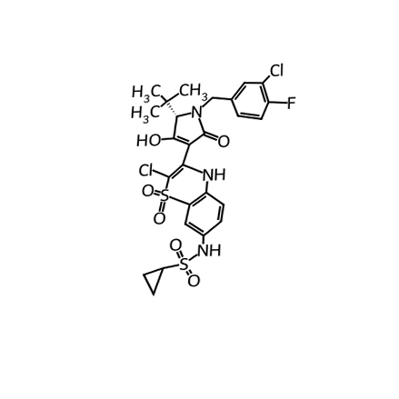 CC(C)(C)[C@H]1C(O)=C(C2=C(Cl)S(=O)(=O)c3cc(NS(=O)(=O)C4CC4)ccc3N2)C(=O)N1Cc1ccc(F)c(Cl)c1